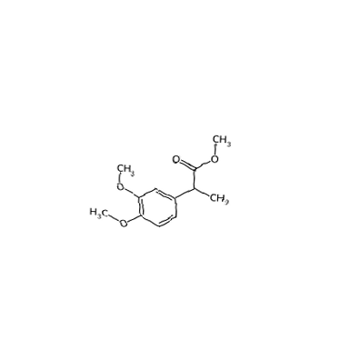 COC(=O)C(C)c1ccc(OC)c(OC)c1